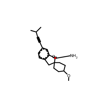 COC1CCC2(CC1)Cc1ccc(C#CC(C)C)cc1C21COC(N)=N1